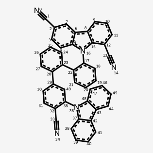 N#Cc1ccc2c(c1)c1cccc(C#N)c1n2-c1ccccc1-c1ccccc1-c1ccc(C#N)c(-n2c3ccccc3c3ccccc32)c1